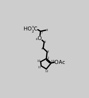 CC(=O)OC1=C(CCCOC(C)C(=O)O)CCC1